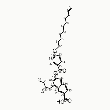 C=CCCCCCCCCCOc1ccc(C(=O)Oc2cc(C[C@@H](C)CC)c3cc(C(=O)O)ccc3c2)cc1